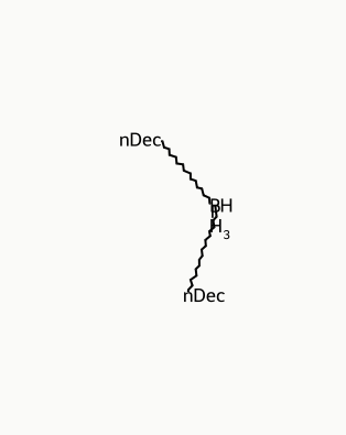 CCCCCCCCCCCCCCCCCCCCCCCCCCP[PH3]CCCCCCCCCCCCCCCCCCCCCCCCCC